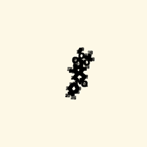 CCOC(=O)[C@@H](OC(C)(C)C)c1c(C)c2c(c(C)c1I)CN(C1CCC(C)(C)CC1)C(=O)C2